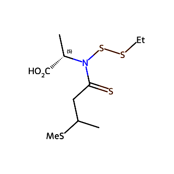 CCSSN(C(=S)CC(C)SC)[C@@H](C)C(=O)O